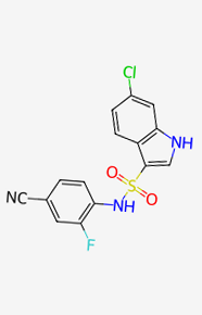 N#Cc1ccc(NS(=O)(=O)c2c[nH]c3cc(Cl)ccc23)c(F)c1